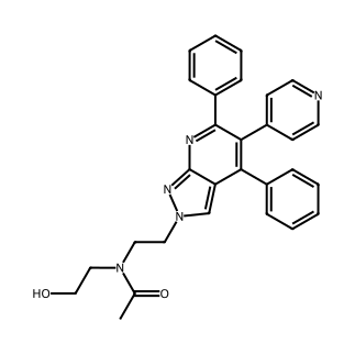 CC(=O)N(CCO)CCn1cc2c(-c3ccccc3)c(-c3ccncc3)c(-c3ccccc3)nc2n1